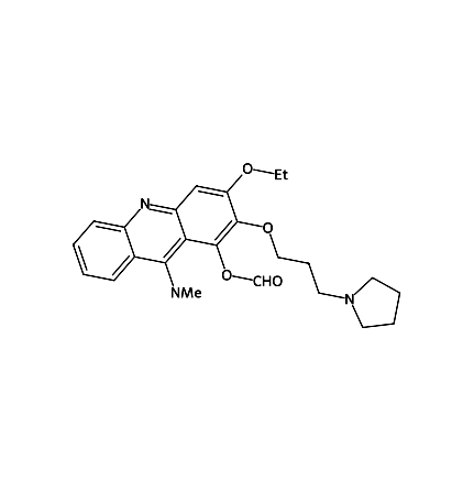 CCOc1cc2nc3ccccc3c(NC)c2c(OC=O)c1OCCCN1CCCC1